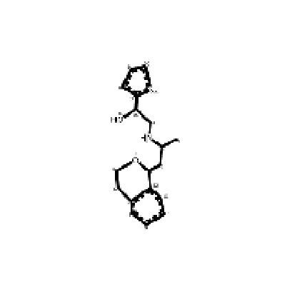 CC(CC1OCCc2ccccc21)NCC(O)c1cccs1